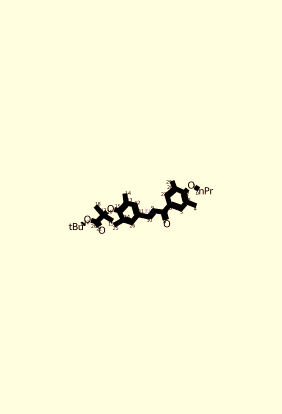 CCCOc1c(C)cc(C(=O)/C=C/c2cc(C)c(OC(C)(C)C(=O)OC(C)(C)C)c(C)c2)cc1C